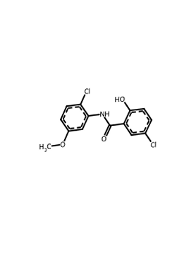 COc1ccc(Cl)c(NC(=O)c2cc(Cl)ccc2O)c1